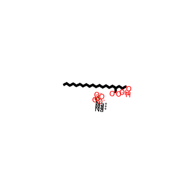 CCCCCCCCCCCCCCCCC(CC(O)CO)C(=O)[O-].O=S(=O)([O-])[O-].[Na+].[Na+].[Na+]